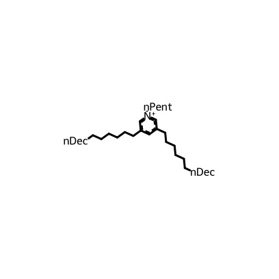 CCCCCCCCCCCCCCCCc1cc(CCCCCCCCCCCCCCCC)c[n+](CCCCC)c1